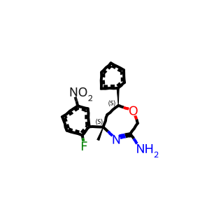 C[C@@]1(c2cc([N+](=O)[O-])ccc2F)C[C@@H](c2ccccc2)OCC(N)=N1